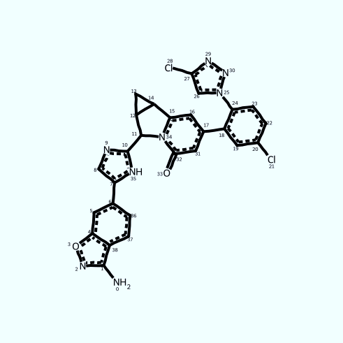 Nc1noc2cc(-c3cnc(C4C5CC5c5cc(-c6cc(Cl)ccc6-n6cc(Cl)nn6)cc(=O)n54)[nH]3)ccc12